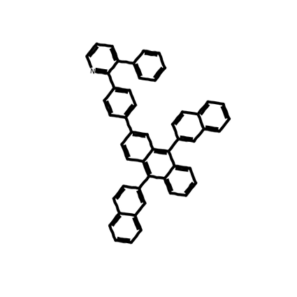 c1ccc(-c2cccnc2-c2ccc(-c3ccc4c(-c5ccc6ccccc6c5)c5ccccc5c(-c5ccc6ccccc6c5)c4c3)cc2)cc1